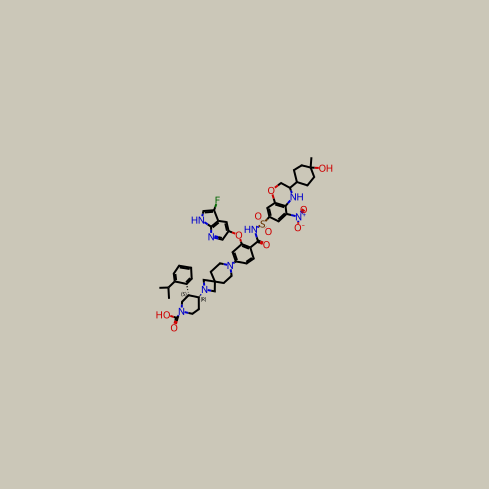 CC(C)c1ccccc1[C@H]1CN(C(=O)O)CC[C@H]1N1CC2(CCN(c3ccc(C(=O)NS(=O)(=O)c4cc5c(c([N+](=O)[O-])c4)NC(C4CCC(C)(O)CC4)CO5)c(Oc4cnc5[nH]cc(F)c5c4)c3)CC2)C1